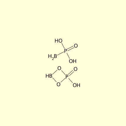 BP(=O)(O)O.O=P1(O)OBO1